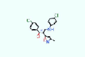 Cc1cc(/C(=C\Nc2ccc(Cl)cc2)C(=O)c2ccc(Cl)cc2)on1